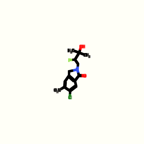 CC(C)(O)C(F)CN1Cc2cc([N+](=O)[O-])c(Cl)cc2C1=O